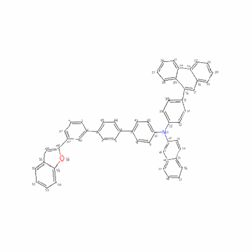 c1cc(-c2ccc(-c3ccc(N(c4ccc(-c5cc6ccccc6c6ccccc56)cc4)c4ccc5ccccc5c4)cc3)cc2)cc(-c2cc3ccccc3o2)c1